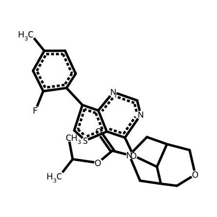 Cc1ccc(-c2csc3c(OC4C5COCC4CN(C(=O)OC(C)C)C5)ncnc23)c(F)c1